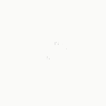 CCCCN1CCC(NC(C)=O)C1